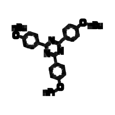 CCCCOc1ccc(-c2nc(-c3ccc(OCCC)cc3)nc(-c3ccc(OCCCC)cc3)n2)cc1